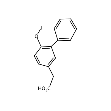 O=C(O)Cc1ccc(OI)c(-c2ccccc2)c1